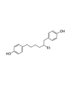 CCC(CCCCc1ccc(O)cc1)Cc1ccc(O)cc1